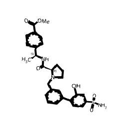 COC(=O)c1ccc([C@H](C)NC(=O)[C@H]2CCCN2Cc2cccc(-c3ccc(S(N)(=O)=O)cc3O)c2)cc1